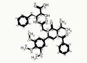 COc1cc(C2=CN(C(=O)c3ccccc3)C(C(C)C)C(=O)N2CC(=O)N[C@@H](Cc2ccccc2)C(O)C(=O)O)cc(OC)c1OC